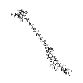 C/C(=C\c1cc(F)c(Oc2ccc(S(=O)(=O)NCCOCCOCCOCCOCCOCCOCCC(O)(C(N)=O)C(O)C(N)=O)cc2)c(F)c1)C(=O)N=C(N)N